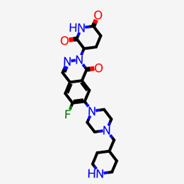 O=C1CCC(n2ncc3cc(F)c(N4CCN(CC5CCNCC5)CC4)cc3c2=O)C(=O)N1